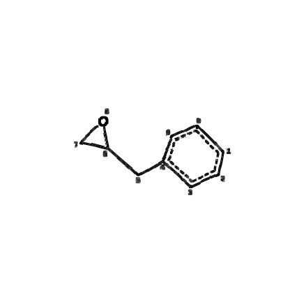 [c]1cccc(CC2CO2)c1